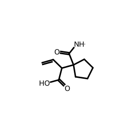 C=CC(C(=O)O)C1(C([NH])=O)CCCC1